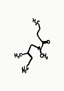 CCCC(=O)N(C)CC(C)CC